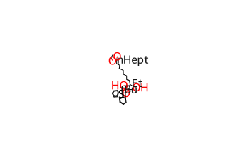 CCCCCCCC1(CCCCCC/C=C/[C@H](CO)[C@](O)(CC)CCO[Si](c2ccccc2)(c2ccccc2)C(C)(C)C)OCCO1